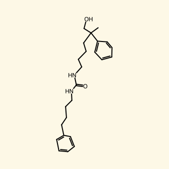 CC(CO)(CCCCNC(=O)NCCCCc1ccccc1)c1ccccc1